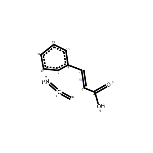 C=C=N.O=C(O)/C=C/c1ccccc1